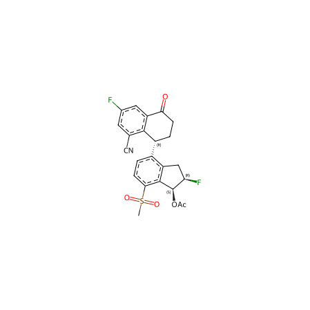 CC(=O)O[C@H]1c2c(S(C)(=O)=O)ccc([C@H]3CCC(=O)c4cc(F)cc(C#N)c43)c2C[C@H]1F